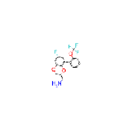 NC[C@H]1COc2cc(F)cc(-c3ccccc3OC(F)(F)F)c2O1